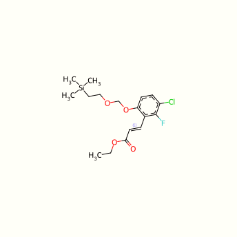 CCOC(=O)/C=C/c1c(OCOCC[Si](C)(C)C)ccc(Cl)c1F